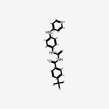 C=C(NC(=O)c1ccc(C(C)(C)C)cc1)Nc1ccc(Nc2ccncc2)cc1